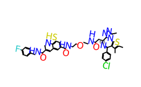 Cc1sc2c(c1C)C(c1ccc(Cl)cc1)=N[C@@H](CC(=O)NCCOCCNC(=O)c1cc(S)c3ncc(C(=O)NCc4ccc(F)cc4)cc3c1)c1nnc(C)n1-2